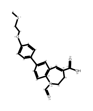 CSCCOc1ccc(-c2ccc3c(c2)C=C(C(=O)O)CCN3C=O)cc1